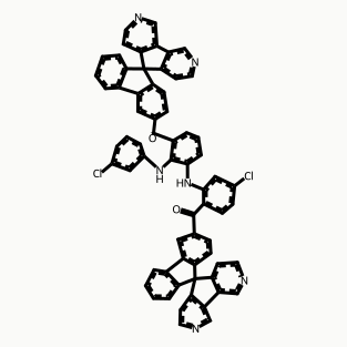 O=C(c1ccc2c(c1)-c1ccccc1C21c2ccncc2-c2cnccc21)c1ccc(Cl)cc1Nc1cccc(C(=O)c2ccc3c(c2)-c2ccccc2C32c3ccncc3-c3cnccc32)c1Nc1cccc(Cl)c1